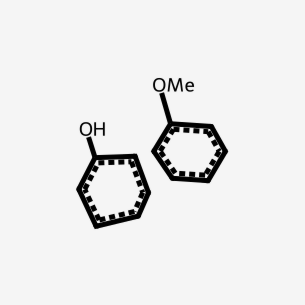 COc1ccccc1.Oc1ccccc1